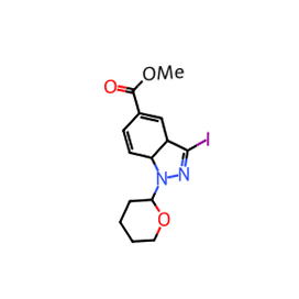 COC(=O)C1=CC2C(I)=NN(C3CCCCO3)C2C=C1